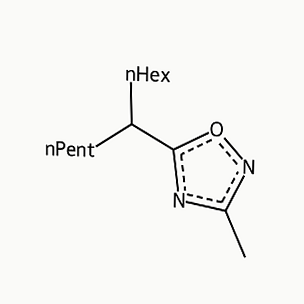 CCCCCCC(CCCCC)c1nc(C)no1